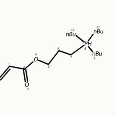 C=CC(=O)OCCC[PH](CCCC)(CCCC)CCCC